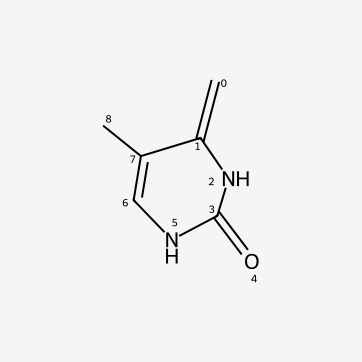 C=C1NC(=O)NC=C1C